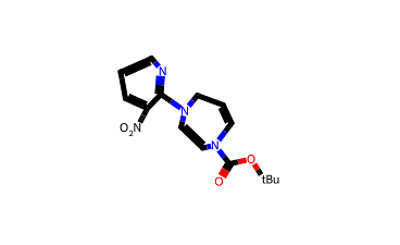 CC(C)(C)OC(=O)N1C=CCN(c2ncccc2[N+](=O)[O-])C=C1